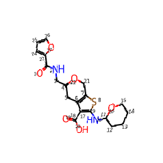 O=C(NCC1Cc2c(sc(NC3CCCCO3)c2C(=O)O)CO1)c1ccco1